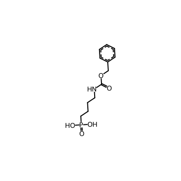 O=C(NCCCCP(=O)(O)O)OCc1ccccc1